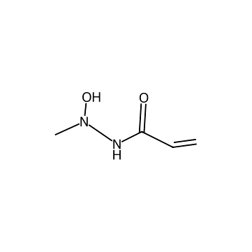 C=CC(=O)NN(C)O